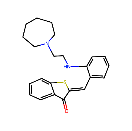 O=C1C(=Cc2ccccc2NCCN2CCCCCC2)Sc2ccccc21